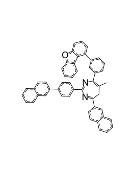 CC1=C(c2cccc(-c3cccc4oc5ccccc5c34)c2)N=C(c2ccc(-c3ccc4ccccc4c3)cc2)N=C(c2ccc3ccccc3c2)C1